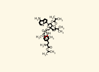 COC(=O)[C@H](C)N[P@](=O)(OC[C@@]1(C#N)O[C@@H](c2ccc3c(N)ccnn23)[C@H](OC(=O)C(C)C)[C@@H]1OC(=O)C(C)C)Oc1ccc(C[C@H](N)C(=O)OC(C)C)cc1